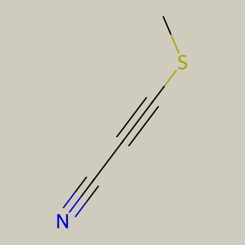 CSC#CC#N